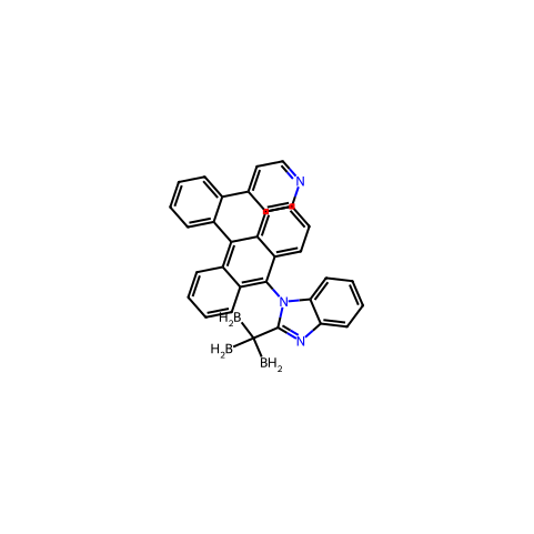 BC(B)(B)c1nc2ccccc2n1-c1c2ccccc2c(-c2ccccc2-c2ccncc2)c2ccccc12